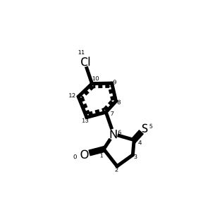 O=C1CCC(=S)N1c1ccc(Cl)cc1